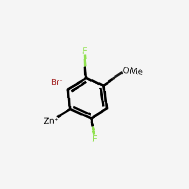 COc1cc(F)[c]([Zn+])cc1F.[Br-]